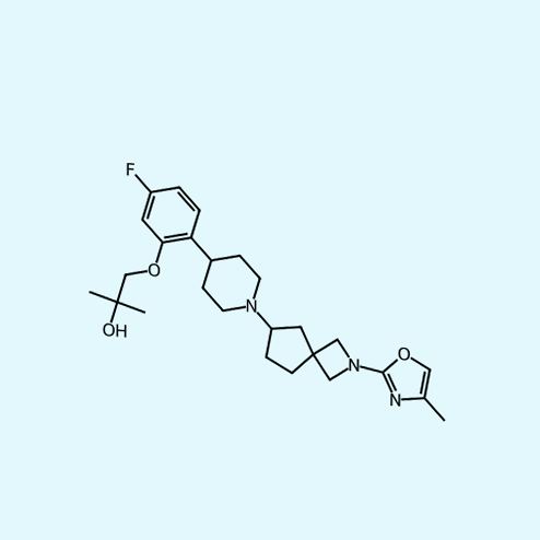 Cc1coc(N2CC3(CCC(N4CCC(c5ccc(F)cc5OCC(C)(C)O)CC4)C3)C2)n1